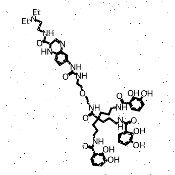 CCN(CC)CCNC(=O)C1C=Nc2cc(NC(=O)NCCOCCNC(=O)C(CCCNC(=O)c3cccc(O)c3O)(CCCNC(=O)c3cccc(O)c3O)CCCNC(=O)c3cccc(O)c3O)ccc2N1